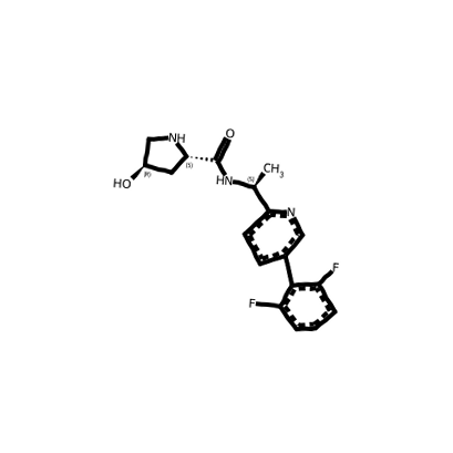 C[C@H](NC(=O)[C@@H]1C[C@@H](O)CN1)c1ccc(-c2c(F)cccc2F)cn1